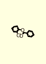 O=C(Oc1ccccc1Cl)c1ccccc1